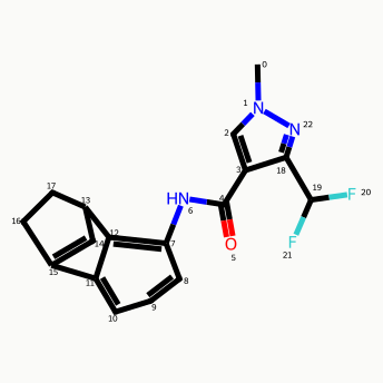 Cn1cc(C(=O)Nc2cccc3c2C2C=C3CC2)c(C(F)F)n1